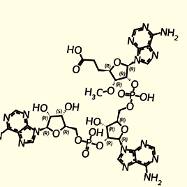 CO[C@H]1[C@@H](OP(=O)(O)OC[C@H]2O[C@@H](n3cnc4c(N)ncnc43)[C@H](OP(=O)(O)OC[C@H]3O[C@@H](n4cnc5c(N)ncnc54)[C@H](O)[C@@H]3O)[C@@H]2O)[C@H](n2cnc3c(N)ncnc32)O[C@@H]1CCC(=O)O